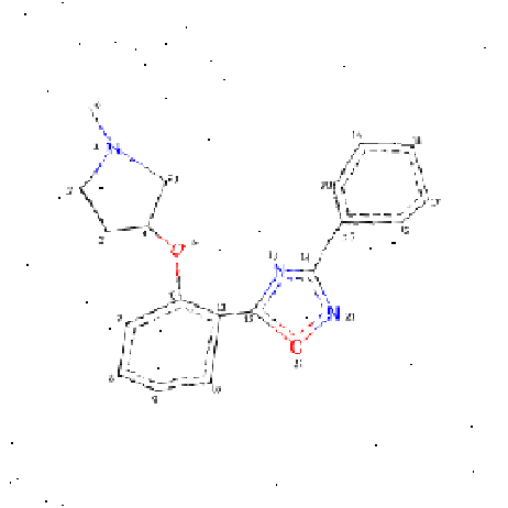 CN1CCC(Oc2ccccc2-c2nc(-c3ccccc3)no2)C1